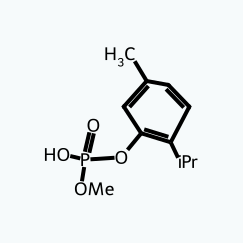 COP(=O)(O)Oc1cc(C)ccc1C(C)C